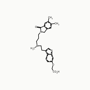 Cc1cc2c(cc1C)C(=O)N(CCCN(C)CCc1csc3cc(OCC(=O)O)ccc13)C2